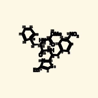 CCc1csc(C(Cc2ccc([N+](=O)[O-])cc2)NC(=O)[C@H](Cc2ccccc2)NC(=O)OC)n1